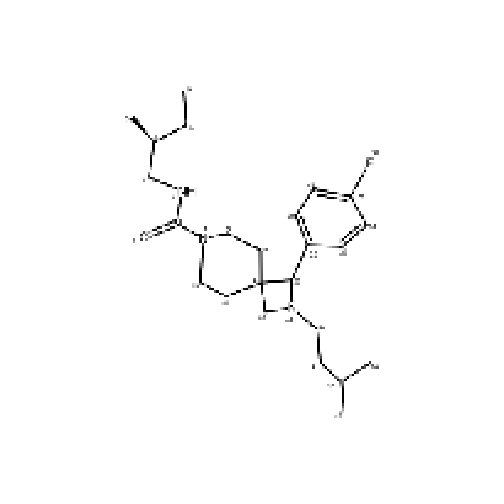 CC[C@H](C)CNC(=O)N1CCC2(CC1)CN(CCC(C)C)C2c1ccc(F)cc1